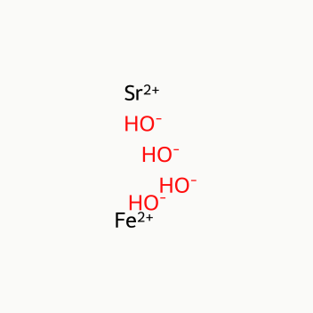 [Fe+2].[OH-].[OH-].[OH-].[OH-].[Sr+2]